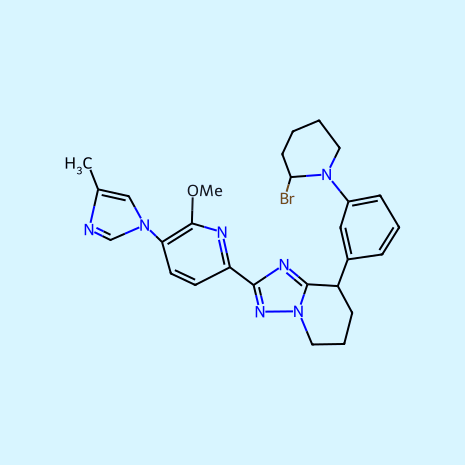 COc1nc(-c2nc3n(n2)CCCC3c2cccc(N3CCCCC3Br)c2)ccc1-n1cnc(C)c1